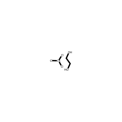 OCCO.[Cl][Co]([Cl])[Cl]